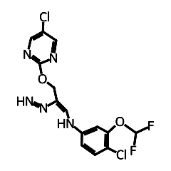 N=N/C(=C\Nc1ccc(Cl)c(OC(F)F)c1)COc1ncc(Cl)cn1